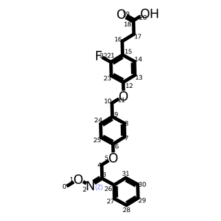 CO/N=C(\COc1ccc(COc2ccc(CCC(=O)O)c(F)c2)cc1)c1ccccc1